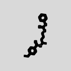 CCc1ccc(C(=O)OC(C)CCCOC(=O)Oc2ccccc2)cc1